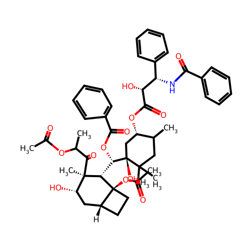 CC(=O)OC(C)C(=O)[C@@]1(C)[C@H]([C@H](OC(=O)c2ccccc2)[C@]2(O)C[C@H](OC(=O)[C@H](O)[C@@H](NC(=O)c3ccccc3)c3ccccc3)C(C)CC2(C)C)[C@]2(OC(C)=O)CC[C@@H]2C[C@@H]1O